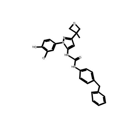 CC1(c2cc(NC(=O)Nc3ccc(Cc4ccccc4)cc3)n(-c3ccc(O)c(Cl)c3)n2)COC1